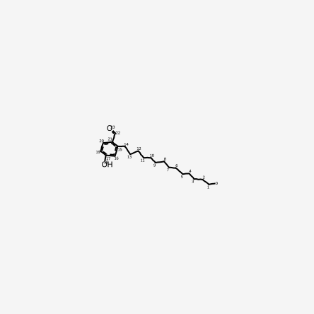 CCCCCCCCCCCCCCCc1cc(O)ccc1C=O